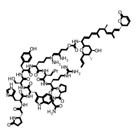 C/C=C/C1OC([C@@H](/C=C/C=C(\C)C[C@@H](C)/C=C(C)\C=C\[C@H]2CC=CC(=O)O2)NC(=O)OCC/C(N)=C/N(N)CCC[C@H](NC(=O)[C@H](Cc2ccc(O)cc2)NC(=O)[C@H](CO)NC(=O)[C@H](Cc2c[nH]c3ccccc23)NC(=O)[C@H](Cc2c[nH]cn2)NC(=O)C[C@@H]2CCC(=O)N2)C(=O)N[C@@H](CC(C)C)C(=O)N[C@@H](CCCNC(=N)N)C(=O)N2CCC[C@H]2C(=O)NCC(N)=O)C[C@@H](O)[C@@H]1C